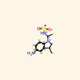 CC1CN(C(C)NS(C)(=O)=O)c2ccc(N)cc21